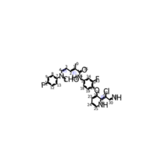 C/C(=C\C=C/N(C=O)c1ccc(F)cc1)C(=O)Nc1ccc(OC2=CC=CN/C2=C(/Cl)C=N)c(F)c1